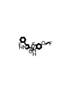 O=S(=O)(Nc1ccc(OCCF)cc1F)c1c[nH]c(-c2ccccc2F)c1